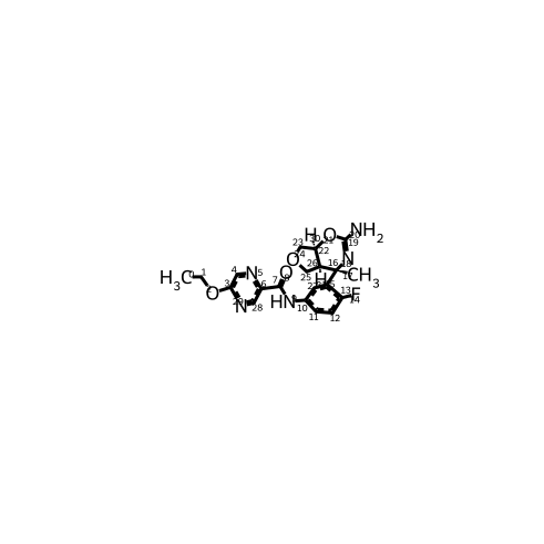 CCOc1cnc(C(=O)Nc2ccc(F)c([C@@]3(C)N=C(N)O[C@@H]4COC[C@@H]43)c2)cn1